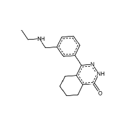 CCNCc1cccc(-c2n[nH]c(=O)c3c2CCCC3)c1